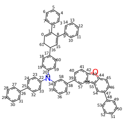 C1=C(c2ccccc2)C(c2ccccc2)=CC(c2ccc(N(c3ccc(-c4ccccc4)cc3)c3cccc(-c4ccc5oc6ccc(-c7ccccc7)cc6c5c4)c3)cc2)C1